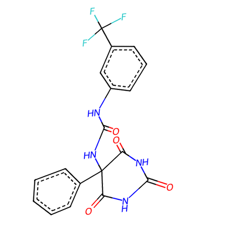 O=C1NC(=O)C(NC(=O)Nc2cccc(C(F)(F)F)c2)(c2ccccc2)C(=O)N1